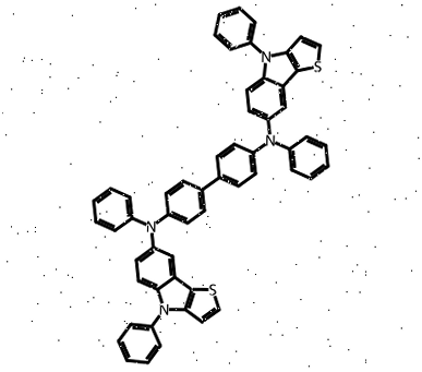 c1ccc(N(c2ccc(-c3ccc(N(c4ccccc4)c4ccc5c(c4)c4sccc4n5-c4ccccc4)cc3)cc2)c2ccc3c(c2)c2sccc2n3-c2ccccc2)cc1